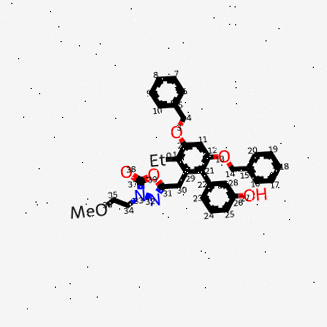 CCc1c(OCc2ccccc2)cc(OCc2ccccc2)c(-c2cccc(O)c2)c1Cc1nn(CCOC)c(=O)o1